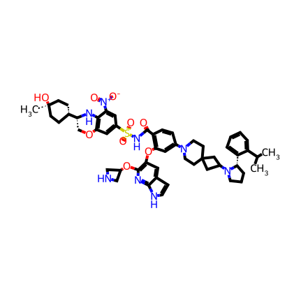 CC(C)c1ccccc1[C@@H]1CCCN1C1CC2(CCN(c3ccc(C(=O)NS(=O)(=O)c4cc5c(c([N+](=O)[O-])c4)N[C@@H]([C@H]4CC[C@](C)(O)CC4)CO5)c(Oc4cc5cc[nH]c5nc4OC4CNC4)c3)CC2)C1